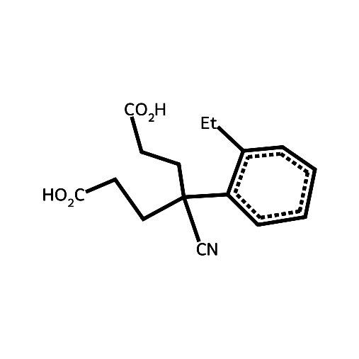 CCc1ccccc1C(C#N)(CCC(=O)O)CCC(=O)O